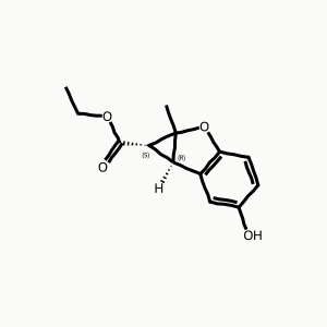 CCOC(=O)[C@H]1[C@@H]2c3cc(O)ccc3OC12C